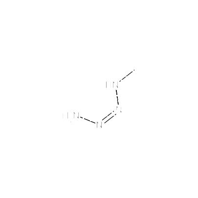 CN/N=N\N